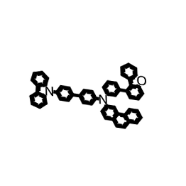 c1cc(-c2cccc3oc4ccccc4c23)cc(N(c2ccc(-c3ccc(-n4c5ccccc5c5ccccc54)cc3)cc2)c2ccc3ccc4ccccc4c3c2)c1